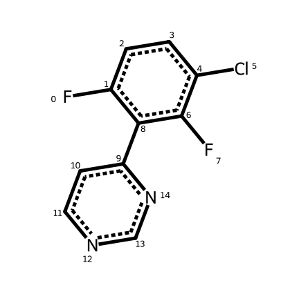 Fc1ccc(Cl)c(F)c1-c1ccncn1